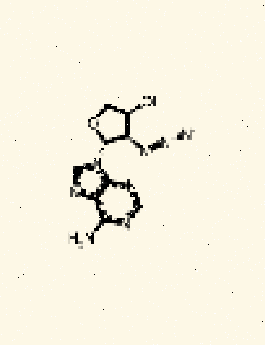 [N-]=[N+]=N[C@@H]1[C@H](O)CO[C@H]1n1cnc2c(N)ncnc21